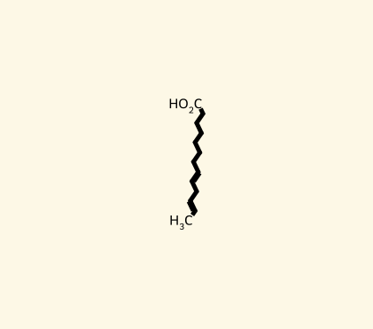 CC=CCC=CCCCCCCC(=O)O